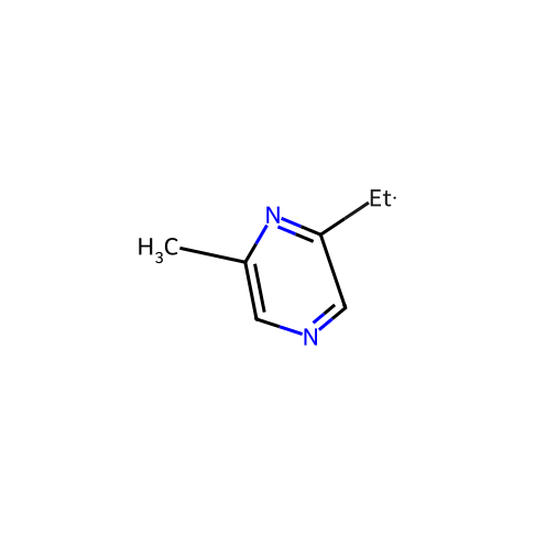 C[CH]c1cncc(C)n1